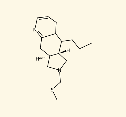 CCCC1C2CC=CN=C2C[C@@H]2CN(CSC)C[C@@H]12